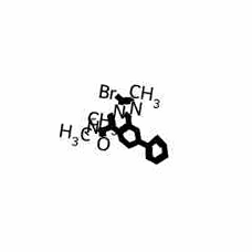 Cc1nc2c3c(c(C(=O)N(C)C)cn2c1Br)CCC(c1ccccc1)C3